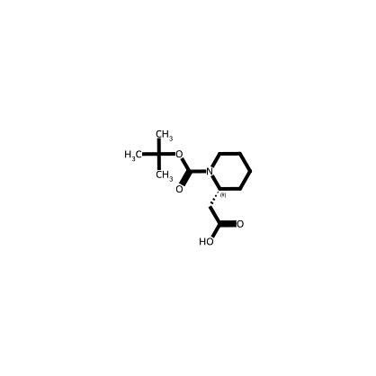 CC(C)(C)OC(=O)N1CCCC[C@@H]1CC(=O)O